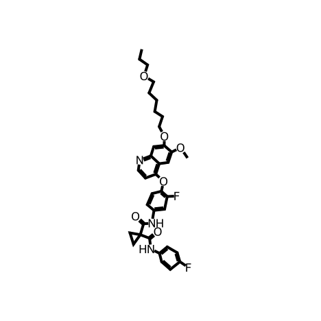 CCCOCCCCCCOc1cc2nccc(Oc3ccc(NC(=O)C4(C(=O)Nc5ccc(F)cc5)CC4)cc3F)c2cc1OC